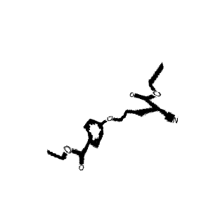 CCOC(=O)c1ccc(OCCCC(C#N)C(=O)OCC)cc1